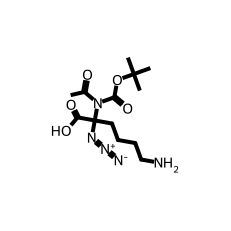 CC(=O)N(C(=O)OC(C)(C)C)C(CCCCN)(N=[N+]=[N-])C(=O)O